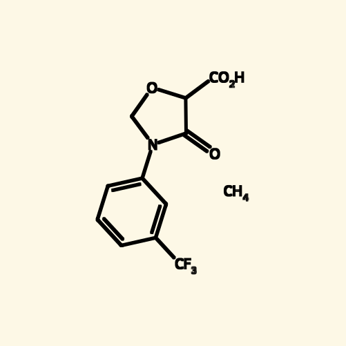 C.O=C(O)C1OCN(c2cccc(C(F)(F)F)c2)C1=O